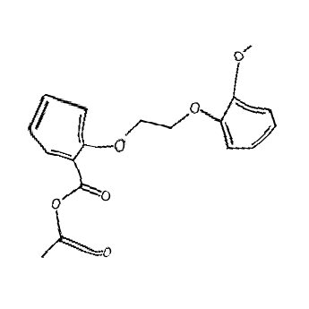 COc1ccccc1OCCOc1ccccc1C(=O)OC(C)=O